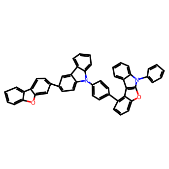 c1ccc(-n2c3ccccc3c3c4c(-c5ccc(-n6c7ccccc7c7cc(-c8ccc9c(c8)oc8ccccc89)ccc76)cc5)cccc4oc32)cc1